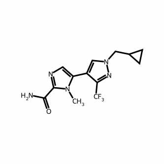 Cn1c(-c2cn(CC3CC3)nc2C(F)(F)F)cnc1C(N)=O